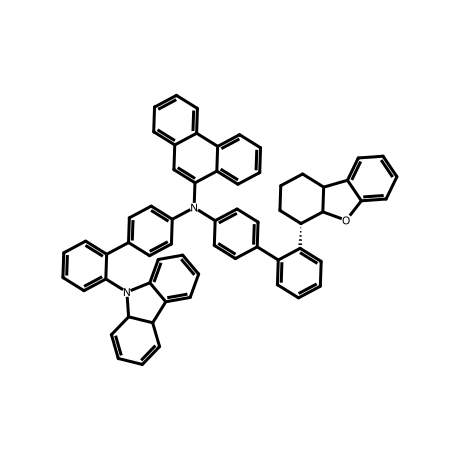 C1=CC2c3ccccc3N(c3ccccc3-c3ccc(N(c4ccc(-c5ccccc5[C@@H]5CCCC6c7ccccc7OC65)cc4)c4cc5ccccc5c5ccccc45)cc3)C2C=C1